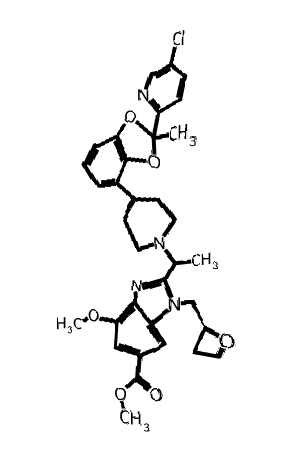 COC(=O)c1cc(OC)c2nc(C(C)N3CCC(c4cccc5c4OC(C)(c4ccc(Cl)cn4)O5)CC3)n(C[C@@H]3CCO3)c2c1